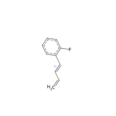 C=C/C=C/c1ccccc1F